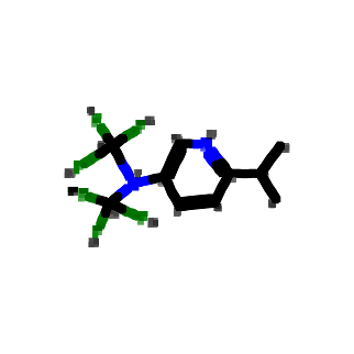 CC(C)c1ccc(N(C(F)(F)F)C(F)(F)F)cn1